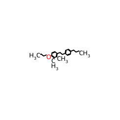 CCCCOc1ccc(CCc2ccc(CCCC)cc2)c(C)c1C